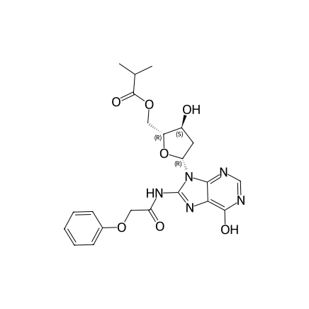 CC(C)C(=O)OC[C@H]1O[C@@H](n2c(NC(=O)COc3ccccc3)nc3c(O)ncnc32)C[C@@H]1O